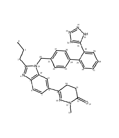 CCCc1nc2ccc(C3=NN(C)C(=O)CC3)cc2n1Cc1ccc(-c2ccccc2-c2nnn[nH]2)cc1